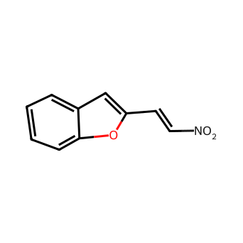 O=[N+]([O-])/C=C/c1cc2ccccc2o1